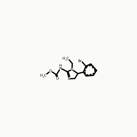 CCN1C(NC(=O)OC)=NCC1c1ccccc1Br